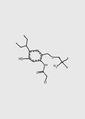 CCC(CC)c1cc(COCC(F)(F)P)c(NC(=O)CCl)cc1O